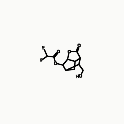 O=C(OC1C2CC3C1OC(=O)C3C2CO)C(F)F